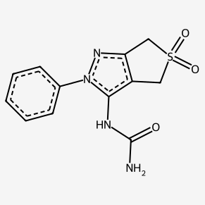 NC(=O)Nc1c2c(nn1-c1ccccc1)CS(=O)(=O)C2